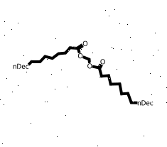 CCCCCCCCCCCCCCCCCC(=O)OCOC(=O)CCCCCCCCCCCCCCCCC